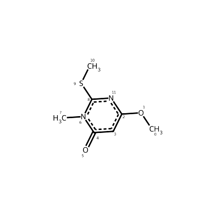 COc1cc(=O)n(C)c(SC)n1